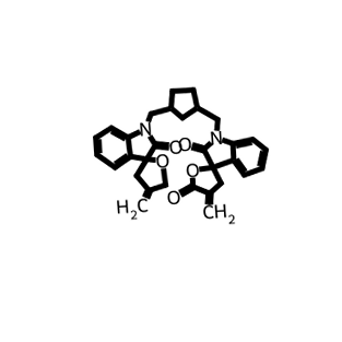 C=C1COC2(C1)C(=O)N(CC1CCC(CN3C(=O)C4(CC(=C)C(=O)O4)c4ccccc43)C1)c1ccccc12